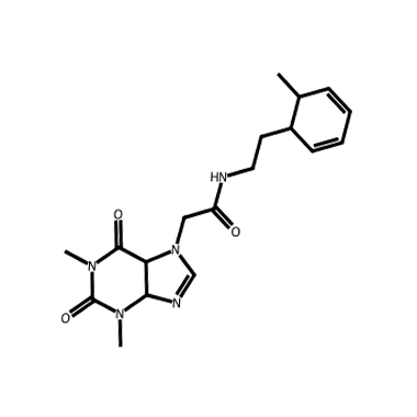 CC1C=CC=CC1CCNC(=O)CN1C=NC2C1C(=O)N(C)C(=O)N2C